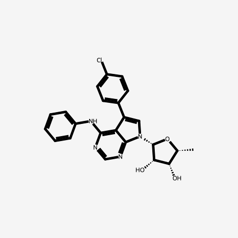 C[C@H]1O[C@@H](n2cc(-c3ccc(Cl)cc3)c3c(Nc4ccccc4)ncnc32)[C@@H](O)[C@H]1O